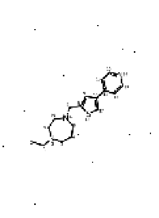 CCN1CCCN(Cc2cc(-c3ccncc3)cs2)CC1